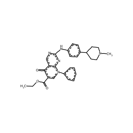 CCOC(=O)c1cn(-c2ccccc2)c2nc(Nc3ccc(C4CCN(C)CC4)cc3)ncc2c1=O